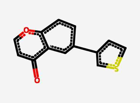 O=c1ccoc2ccc(-c3ccsc3)cc12